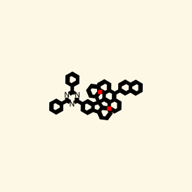 c1ccc(-c2nc(-c3ccccc3)nc(-c3ccc4c(c3)C(c3ccccc3)(c3c5ccccc5c(-c5ccc6ccccc6c5)c5ccccc35)c3ccccc3-4)n2)cc1